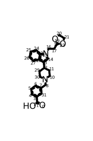 O=C(O)c1cccc(CN2CCC(c3cn(CCC4OCCO4)c4ccccc34)CC2)c1